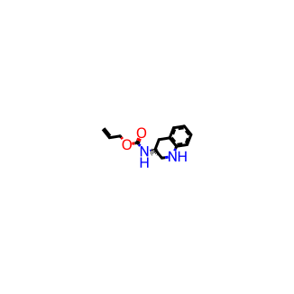 C=CCOC(=O)N[C@H]1CNc2ccccc2C1